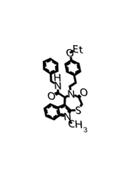 CCOc1ccc(CCN2C(=O)CSc3c(c4ccccc4n3C)C2C(=O)NCc2ccccc2)cc1